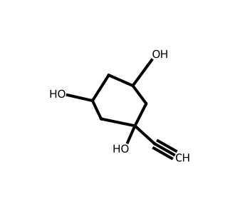 C#CC1(O)CC(O)CC(O)C1